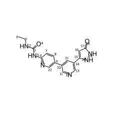 CCNC(=O)Nc1ccc(-c2cncc(-c3cc(=O)[nH][nH]3)c2)cn1